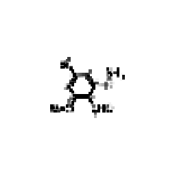 COc1cc(Br)cc(F)c1C=O.N